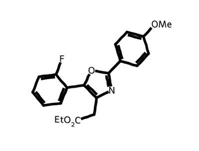 CCOC(=O)Cc1nc(-c2ccc(OC)cc2)oc1-c1ccccc1F